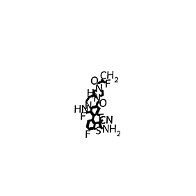 C=C(F)C(=O)N1CCN2C(=O)c3cc(F)c(-c4ccc(F)c5sc(N)c(C#N)c45)c4c3N(CC[C@@H]2C1)NC4F